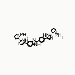 PN1CCC[C@H]1c1ncc(-c2ccc(-c3nc4cc(-c5cnc([C@@H]6CCCN6P)[nH]5)ccc4[nH]3)cc2)[nH]1